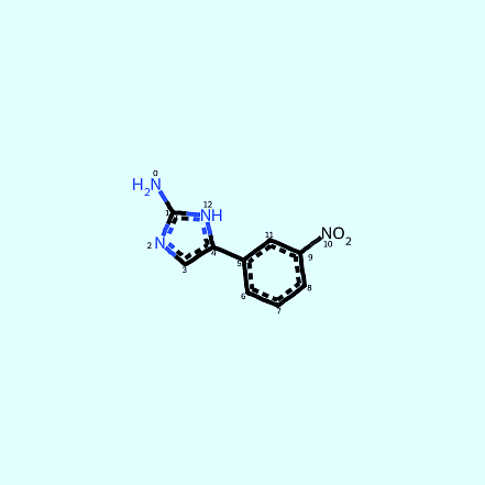 Nc1ncc(-c2cccc([N+](=O)[O-])c2)[nH]1